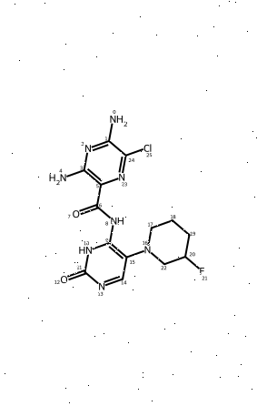 Nc1nc(N)c(C(=O)Nc2[nH]c(=O)ncc2N2CCCC(F)C2)nc1Cl